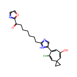 O=C(CCCCCCc1ncc(C2=CC(O)=CC3(C=C2F)CC3)[nH]1)c1ncco1